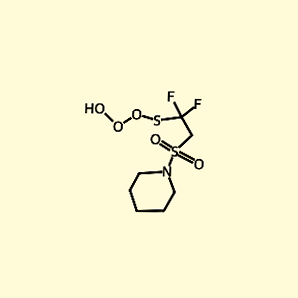 O=S(=O)(CC(F)(F)SOOO)N1CCCCC1